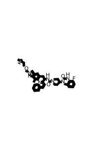 Cc1cc(CC(NC(=O)N2CCC(N3Cc4cccc(F)c4NC3=O)CC2)c2ccc3ccccc3n2)cc2cn(COCC[Si](C)(C)C)nc12